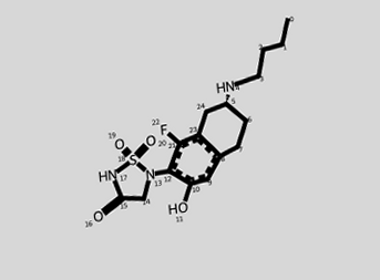 CCCCN[C@@H]1CCc2cc(O)c(N3CC(=O)NS3(=O)=O)c(F)c2C1